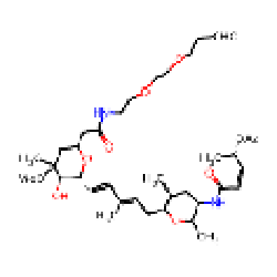 CO[C@@]1(C)C[C@@H](CC(=O)NCCOCCOCCC=O)O[C@H](/C=C/C(C)=C/C[C@@H]2OC(C)C(NC(=O)/C=C\[C@H](C)OC(C)=O)C[C@@H]2C)[C@H]1O